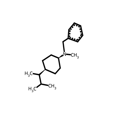 CC(C)C(C)[C@H]1CC[C@@H](N(C)Cc2ccccc2)CC1